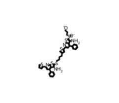 COCCC[S+]([O-])c1sc2nc(-c3cc(CCCCSc4sc5nc(-c6cccs6)cc(-c6ccccc6)c5c4N)cs3)cc(-c3ccccc3)c2c1N